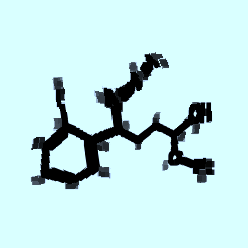 CCOC(O)CCC(N=[N+]=[N-])c1ccccc1F